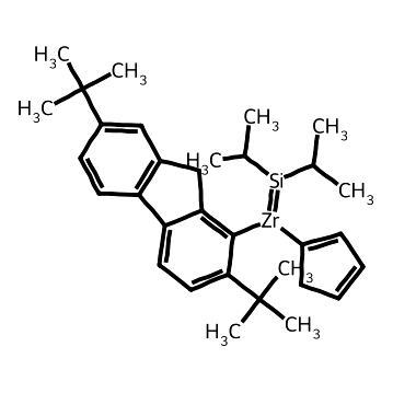 CC(C)[Si](C(C)C)=[Zr]([C]1=CC=CC1)[c]1c(C(C)(C)C)ccc2c1Cc1cc(C(C)(C)C)ccc1-2